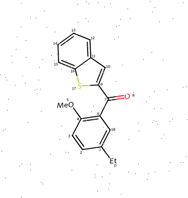 CCc1ccc(OC)c(C(=O)c2cc3ccccc3s2)c1